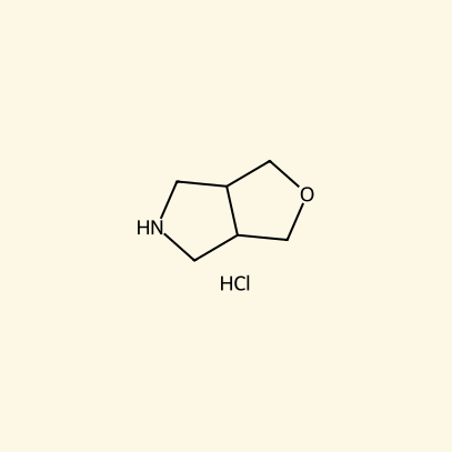 C1NCC2COCC12.Cl